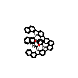 C1=CCC2C(=C1)c1ccc3c4ccc5ccccc5c4n(-c4ccccc4)c3c1N2c1nc(-c2ccccc2)nc(-n2c3c4ccccc4ccc3c3ccc4c5ccc6ccccc6c5n(-c5ccccc5)c4c32)n1